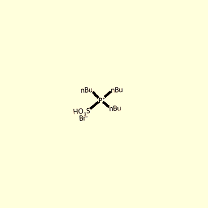 CCCC[P+](CCCC)(CCCC)S(=O)(=O)O.[Br-]